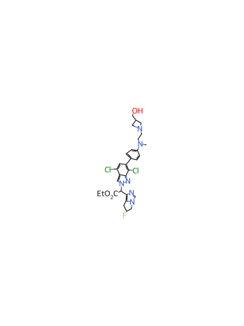 CCOC(=O)C(c1ncn2c1CC(F)C2)n1cc2c(Cl)cc(-c3ccc(N(C)CCN4CC(CO)C4)cc3)c(Cl)c2n1